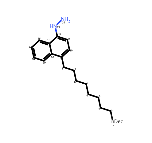 CCCCCCCCCCCCCCCCCCc1ccc(NN)c2ccccc12